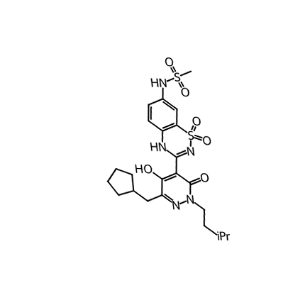 CC(C)CCn1nc(CC2CCCC2)c(O)c(C2=NS(=O)(=O)c3cc(NS(C)(=O)=O)ccc3N2)c1=O